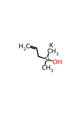 C=CC[Si](C)(C)O.[K]